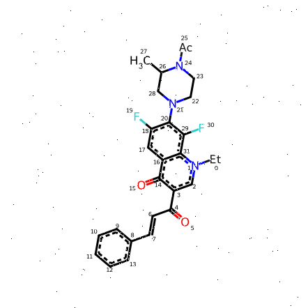 CCn1cc(C(=O)/C=C/c2ccccc2)c(=O)c2cc(F)c(N3CCN(C(C)=O)C(C)C3)c(F)c21